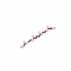 C#CC(=O)OCCCOC(=O)CCCC(=O)OCCCOC(=O)C#C